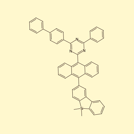 C[Si]1(C)c2ccccc2-c2cc(-c3c4ccccc4c(-c4nc(-c5ccccc5)nc(-c5ccc(-c6ccccc6)cc5)n4)c4ccccc34)ccc21